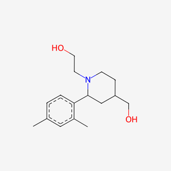 Cc1ccc(C2CC(CO)CCN2CCO)c(C)c1